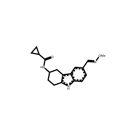 CON=Cc1ccc2[nH]c3c(c2c1)CC(NC(=O)C1CC1)CC3